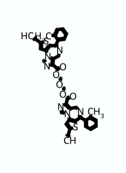 C#Cc1cc2c(s1)C(c1ccccc1C)=NCc1c(C(=O)OCOCOC(=O)c3ncn4c3CN=C(c3ccccc3C)c3sc(C#C)cc3-4)ncn1-2